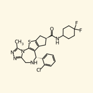 Cc1nnc2n1-c1sc3c(c1[C@H](c1ccccc1Cl)NC2)C[C@H](C(=O)NC1CCC(F)(F)CC1)C3